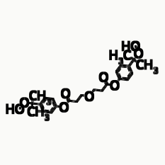 CC(C)(OO)c1ccc(OC(=O)CCOCCC(=O)Oc2ccc(C(C)(C)OO)cc2)cc1